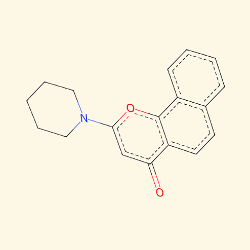 O=c1cc(N2CCCCC2)oc2c1ccc1ccccc12